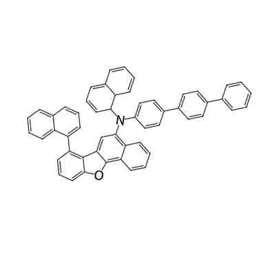 C1=CC2=CC=CC(N(c3ccc(-c4ccc(-c5ccccc5)cc4)cc3)c3cc4c(oc5cccc(-c6cccc7ccccc67)c54)c4ccccc34)C2C=C1